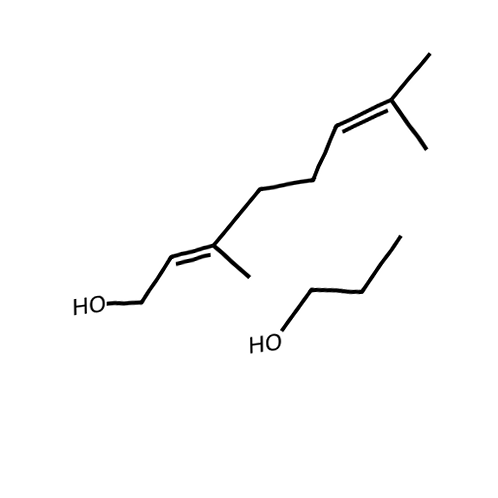 CC(C)=CCC/C(C)=C/CO.CCCO